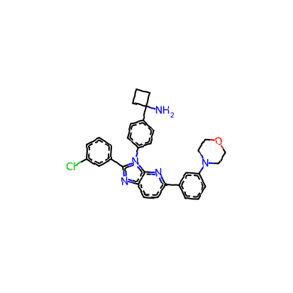 NC1(c2ccc(-n3c(-c4cccc(Cl)c4)nc4ccc(-c5cccc(N6CCOCC6)c5)nc43)cc2)CCC1